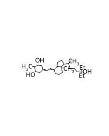 CCC(O)(CC)CCC[C@H](C)C1CCC2/C(=C/C=C3C[C@@H](O)C(C)[C@H](O)C3)CCC[C@@]21C